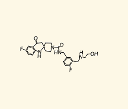 O=C1CC2(CCN(C(=O)NCc3ccc(F)c(CNCCO)c3)CC2)Nc2ccc(F)cc21